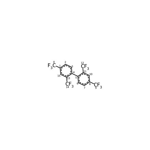 FC(F)(F)c1ccc(-c2ccc(C(F)(F)F)cc2C(F)(F)F)c(C(F)(F)F)c1